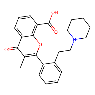 Cc1c(-c2ccccc2CCN2CCCCC2)oc2c(C(=O)O)cccc2c1=O